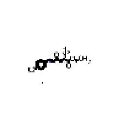 CCOC(=O)/C(N)=C/C(=O)/C=C/c1ccc(Cl)cc1